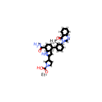 CCOC(O)N1CC=C(c2cc3c(-c4cccc(-n5cnc6ccccc6c5=O)c4C)ccc(C(N)=O)c3[nH]2)C1